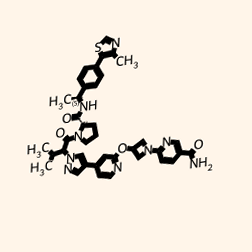 Cc1ncsc1-c1ccc([C@H](C)NC(=O)[C@@H]2CCCN2C(=O)C(C(C)C)n2cc(-c3ccnc(OC4CN(c5ccc(C(N)=O)cn5)C4)c3)cn2)cc1